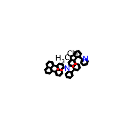 CC1(C)c2cc(N(c3ccc(-c4cccc5cccc(-c6ccccc6)c45)cc3)c3ccccc3-c3ccccc3)ccc2-c2c(-c3ccccn3)cccc21